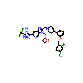 Fc1cc(Cl)ccc1COc1cccc(C2=CCN(Cc3nc4cc(-c5nnc(C(F)(F)F)[nH]5)ncc4n3C[C@@H]3CCO3)CC2)c1